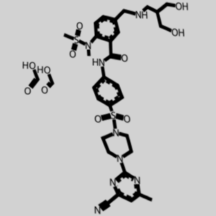 Cc1cc(C#N)nc(N2CCN(S(=O)(=O)c3ccc(NC(=O)c4cc(CNCC(CO)CO)ccc4N(C)S(C)(=O)=O)cc3)CC2)n1.O=CO.O=CO